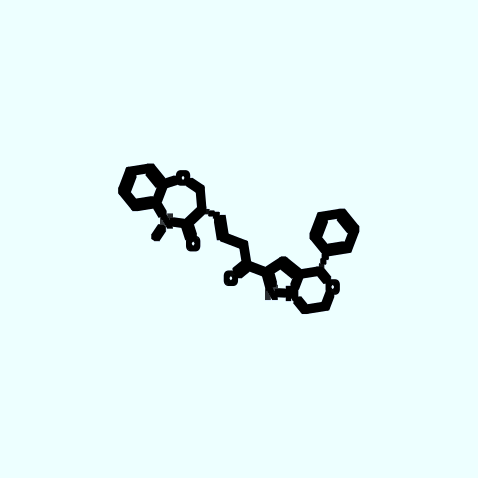 CN1C(=O)[C@@H](/C=C/CC(=O)c2cc3n(n2)CCO[C@H]3c2ccccc2)COc2ccccc21